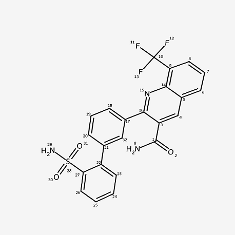 NC(=O)c1cc2cccc(C(F)(F)F)c2nc1-c1cccc(-c2ccccc2S(N)(=O)=O)c1